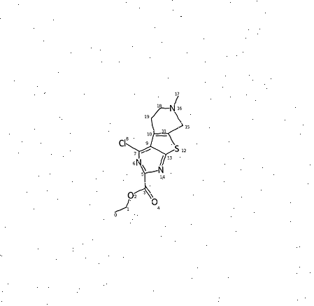 CCOC(=O)c1nc(Cl)c2c3c(sc2n1)CN(C)CC3